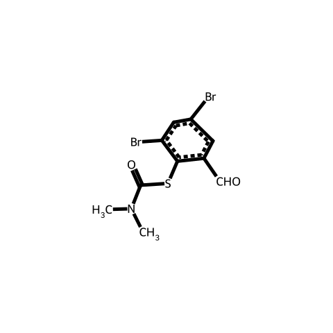 CN(C)C(=O)Sc1c(Br)cc(Br)cc1C=O